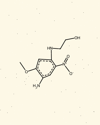 COc1cc(NCCO)c([N+](=O)[O-])cc1N